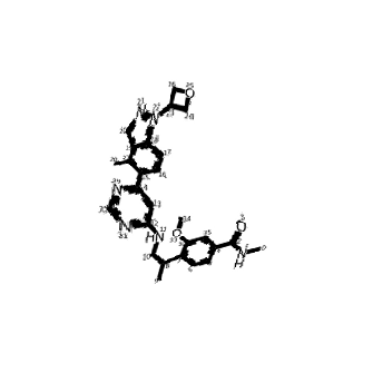 CNC(=O)c1ccc(C(C)CNc2cc(-c3ccc4c(cnn4C4COC4)c3C)ncn2)c(OC)c1